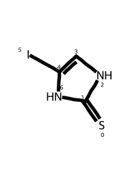 S=c1[nH]cc(I)[nH]1